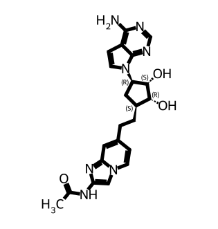 CC(=O)Nc1cn2ccc(CC[C@H]3C[C@@H](n4ccc5c(N)ncnc54)[C@H](O)[C@@H]3O)cc2n1